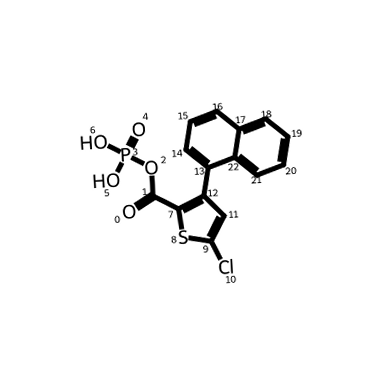 O=C(OP(=O)(O)O)c1sc(Cl)cc1-c1cccc2ccccc12